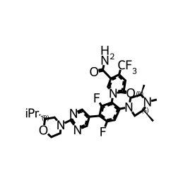 CC(C)[C@@H]1CN(c2ncc(-c3c(F)cc(N4C[C@@H](C)N(C)[C@@H](C)C4)c(-n4cc(C(N)=O)c(C(F)(F)F)cc4=O)c3F)cn2)CCO1